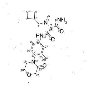 CN(CC1CCC1)[C@H](C(N)=O)C(=O)Nc1ccc(N2CCOCC2=O)c(F)c1